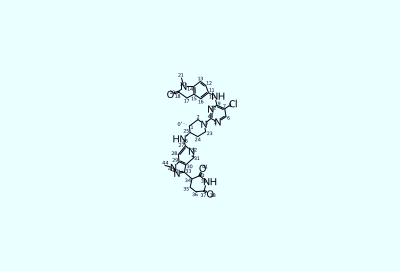 C[C@@H]1CN(c2ncc(Cl)c(Nc3ccc4c(c3)CC(=O)N4C)n2)CC[C@H]1Nc1cc2c(cn1)c(C1CCC(=O)NC1=O)nn2C